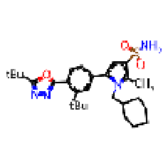 Cc1c(S(N)(=O)=O)cc(-c2ccc(-c3nnc(C(C)(C)C)o3)c(C(C)(C)C)c2)n1CC1CCCCC1